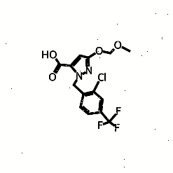 COCOc1cc(C(=O)O)n(Cc2ccc(C(F)(F)F)cc2Cl)n1